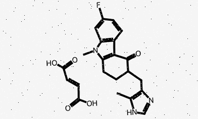 Cc1[nH]cnc1CC1CCc2c(c3ccc(F)cc3n2C)C1=O.O=C(O)C=CC(=O)O